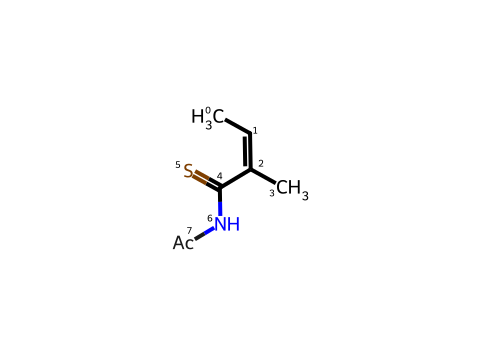 C/C=C(/C)C(=S)NC(C)=O